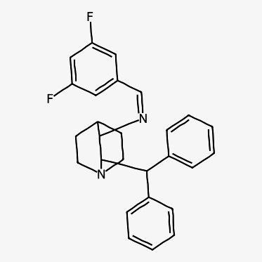 Fc1cc(F)cc(/C=N\C2C3CCN(CC3)C2C(c2ccccc2)c2ccccc2)c1